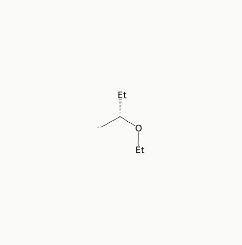 [CH2][C@H](CC)OCC